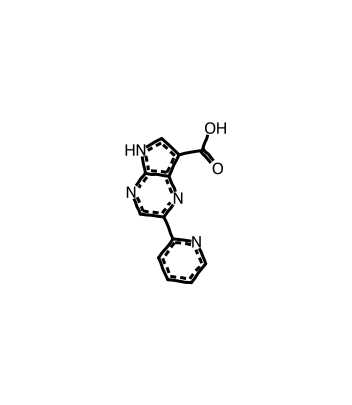 O=C(O)c1c[nH]c2ncc(-c3ccccn3)nc12